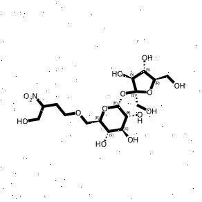 O=[N+]([O-])C(CO)CCOC[C@H]1O[C@H](O[C@]2(CO)O[C@H](CO)[C@@H](O)[C@@H]2O)[C@H](O)[C@@H](O)[C@@H]1O